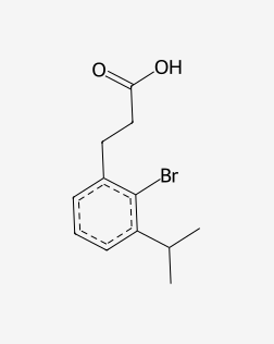 CC(C)c1cccc(CCC(=O)O)c1Br